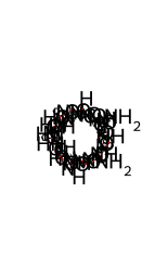 CCCC[C@H]1C(=O)N(C)[C@@H](CCCC)C(=O)NCC(=O)N[C@H](C(=O)NCC(N)=O)CSCC(=O)NC(Cc2ccccc2)C(=O)N(C)[C@@H](C)C(=O)N[C@@H](CC(N)=O)C(=O)N2CCC[C@H]2C(=O)N[C@@H](Cc2cnc[nH]2)C(=O)N[C@@H](CC(C)C)C(=O)N(C)CC(=O)N[C@@H](Cc2c[nH]c3ccccc23)C(=O)N[C@@H](CO)C(=O)N[C@@H](Cc2c[nH]c3ccccc23)C(=O)N1C